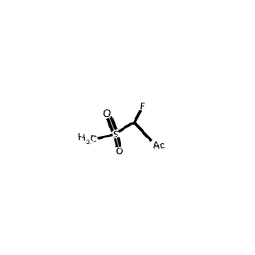 CC(=O)C(F)S(C)(=O)=O